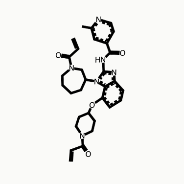 C=CC(=O)N1CCC(Oc2cccc3nc(NC(=O)c4ccnc(C)c4)n(C4CCCCN(C(=O)C=C)C4)c23)CC1